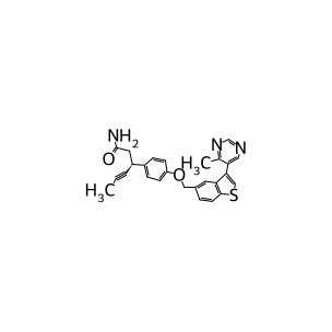 CC#C[C@@H](CC(N)=O)c1ccc(OCc2ccc3scc(-c4cncnc4C)c3c2)cc1